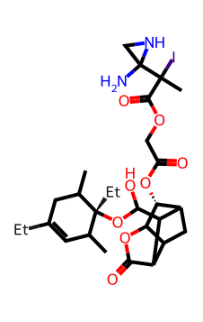 CCC1=CC(C)[C@@](CC)(OC(O)C2C3C(=O)OC4C3CC2[C@H]4OC(=O)COC(=O)C(C)(I)C2(N)CN2)C(C)C1